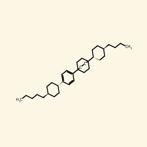 CCCCC[C@H]1CC[C@H](c2ccc(C34CCC([C@H]5CC[C@H](CCCC)CC5)(CC3)CC4)cc2)CC1